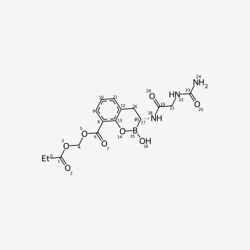 CCC(=O)OCOC(=O)c1cccc2c1OB(O)[C@@H](NC(=O)CNC(N)=O)C2